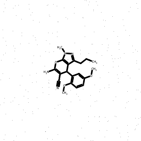 CCCc1nn(C)c2c1C(c1cc(OC)ccc1OC)C(C#N)=C(N)O2